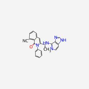 C[C@H](Nc1nccc2[nH]cnc12)c1cc2cccc(C#N)c2c(=O)n1-c1ccccc1